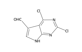 O=Cc1c[nH]c2nc(Cl)nc(Cl)c12